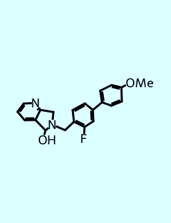 COc1ccc(-c2ccc(CN3Cc4ncccc4C3O)c(F)c2)cc1